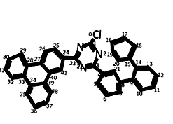 Clc1nc(-c2cccc(-c3ccccc3-c3ccccc3)c2)nc(-c2ccc3c4ccccc4c4ccccc4c3c2)n1